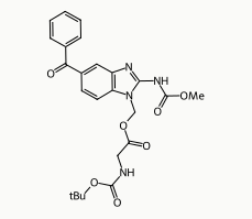 COC(=O)Nc1nc2cc(C(=O)c3ccccc3)ccc2n1COC(=O)CNC(=O)OC(C)(C)C